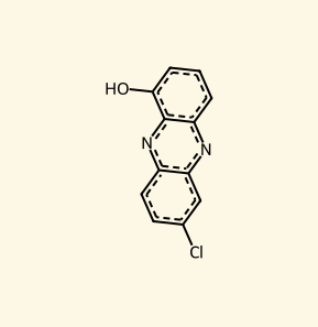 Oc1cccc2nc3cc(Cl)ccc3nc12